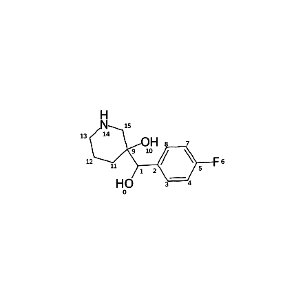 OC(c1ccc(F)cc1)C1(O)CCCNC1